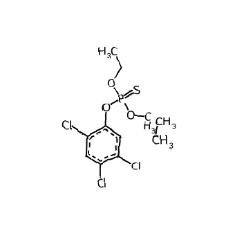 CC.CCOP(=S)(OC)Oc1cc(Cl)c(Cl)cc1Cl